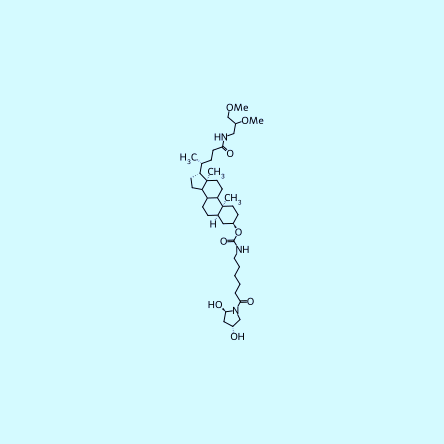 COCC(CNC(=O)CC[C@@H](C)[C@H]1CCC2C3CC[C@@H]4C[C@H](OC(=O)NCCCCCC(=O)N5C[C@H](O)C[C@H]5O)CC[C@]4(C)C3CC[C@@]21C)OC